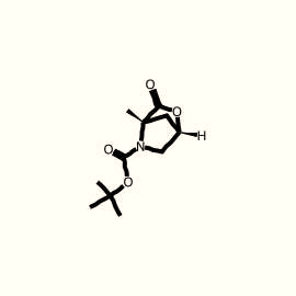 CC(C)(C)OC(=O)N1C[C@@H]2C[C@@]1(C)C(=O)O2